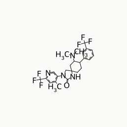 Cc1cc(C(F)(F)F)ncc1N1CC2(CCC(c3cccc(C(F)(F)F)c3)C(N(C)C)C2)NC1=O